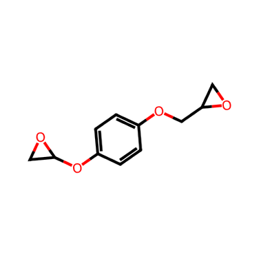 c1cc(OC2CO2)ccc1OCC1CO1